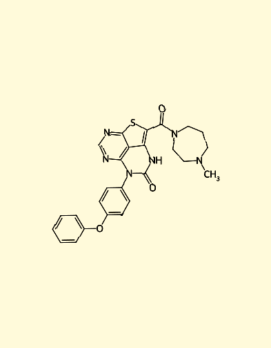 CN1CCCN(C(=O)c2sc3ncnc4c3c2NC(=O)N4c2ccc(Oc3ccccc3)cc2)CC1